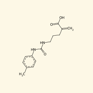 C=C(CCCNC(=O)Nc1ccc(C)cc1)C(=O)O